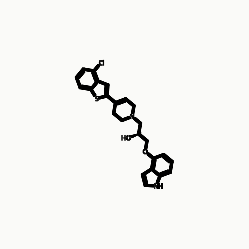 O[C@H](COc1cccc2[nH]ccc12)CN1CC=C(c2cc3c(Cl)cccc3s2)CC1